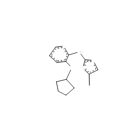 Cc1csc(Nc2ncccc2SC2CCCC2)n1.Cl